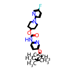 CC(C)(C)[Si](C)(C)Oc1ccc(NC(=O)OC2CCN(c3ccc(F)cn3)CC2)nc1